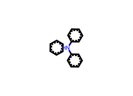 c1ccc(Nc2ccccc2)cc1.c1ccccc1